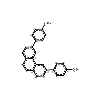 CC(C)COc1ccc(-c2ccc3ccc4ccc(-c5ccc(OCC(C)C)cc5)cc4c3c2)cc1